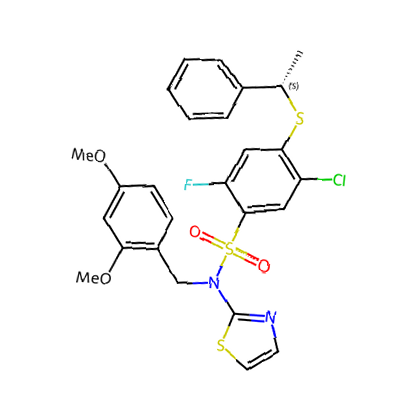 COc1ccc(CN(c2nccs2)S(=O)(=O)c2cc(Cl)c(S[C@@H](C)c3ccccc3)cc2F)c(OC)c1